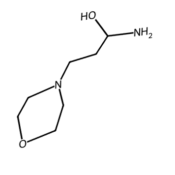 NC(O)CCN1CCOCC1